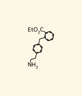 CCOC(=O)c1ccccc1Cc1ccc(CCN)cc1